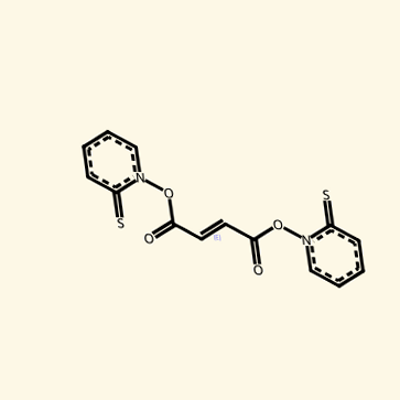 O=C(/C=C/C(=O)On1ccccc1=S)On1ccccc1=S